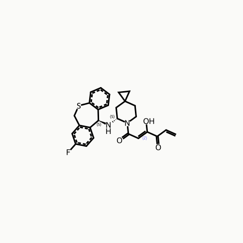 C=CC(=O)/C(O)=C/C(=O)N1CCC2(CC2)C[C@H]1N[C@H]1c2ccc(F)cc2CSc2ccccc21